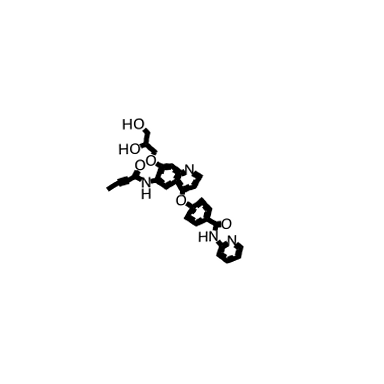 CC#CC(=O)Nc1cc2c(Oc3ccc(C(=O)Nc4ccccn4)cc3)ccnc2cc1OCC(O)CO